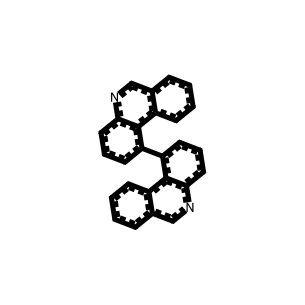 c1ccc2c(c1)cnc1cccc(-c3cccc4ncc5ccccc5c34)c12